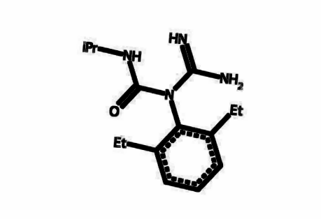 CCc1cccc(CC)c1N(C(=N)N)C(=O)NC(C)C